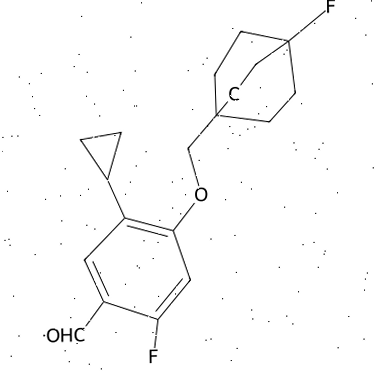 O=[C]c1cc(C2CC2)c(OCC23CCC(F)(CC2)CC3)cc1F